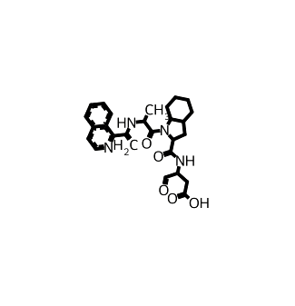 C=C(NC(C)C(=O)N1C(C(=O)NC(C=O)CC(=O)O)CC2CCCCC21)c1nccc2ccccc12